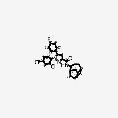 O=C(NC1CCC2CC3CC2CC1C3)C1=NN(c2ccc(Cl)cc2Cl)C(c2ccc(F)cc2)C1